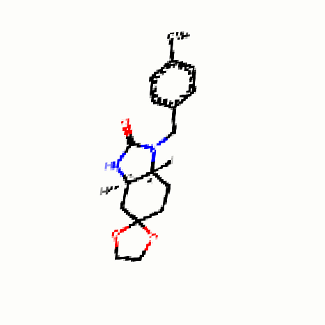 COc1ccc(CN2C(=O)N[C@@H]3CC4(CC[C@H]32)OCCO4)cc1